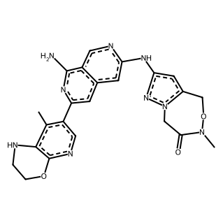 Cc1c(-c2cc3cc(Nc4cc5n(n4)CC(=O)N(C)OC5)ncc3c(N)n2)cnc2c1NCCO2